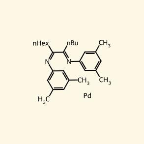 CCCCCCC(=Nc1cc(C)cc(C)c1)C(CCCC)=Nc1cc(C)cc(C)c1.[Pd]